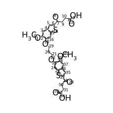 COc1cc2cc(C(=O)CCC(=O)O)sc2cc1OCCCOc1cc2sc(C(=O)CCC(=O)O)cc2cc1OC